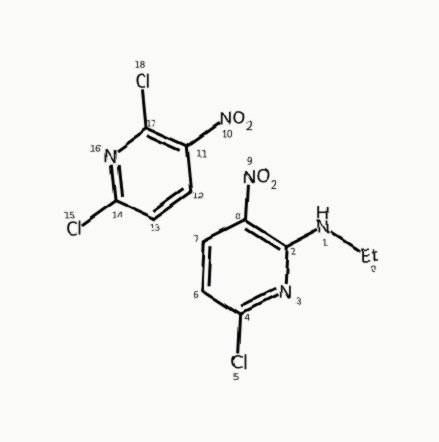 CCNc1nc(Cl)ccc1[N+](=O)[O-].O=[N+]([O-])c1ccc(Cl)nc1Cl